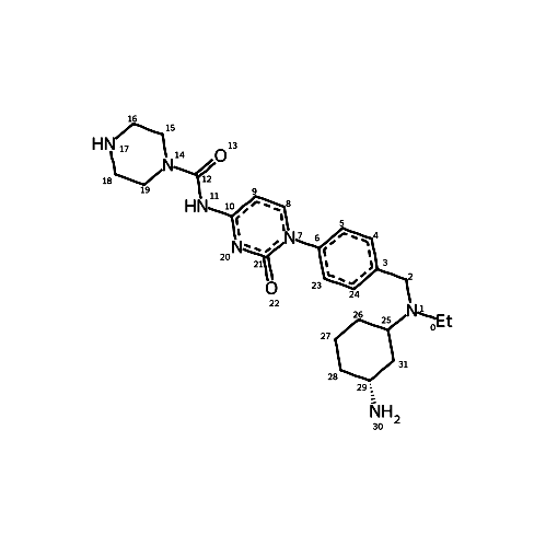 CCN(Cc1ccc(-n2ccc(NC(=O)N3CCNCC3)nc2=O)cc1)C1CCC[C@@H](N)C1